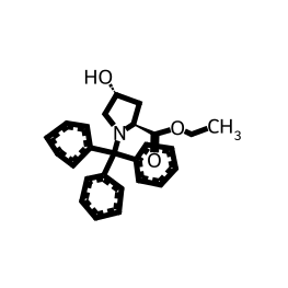 CCOC(=O)[C@@H]1C[C@@H](O)CN1C(c1ccccc1)(c1ccccc1)c1ccccc1